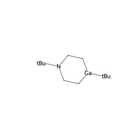 CC(C)(C)N1C[CH2][Ga]([C](C)(C)C)[CH2]C1